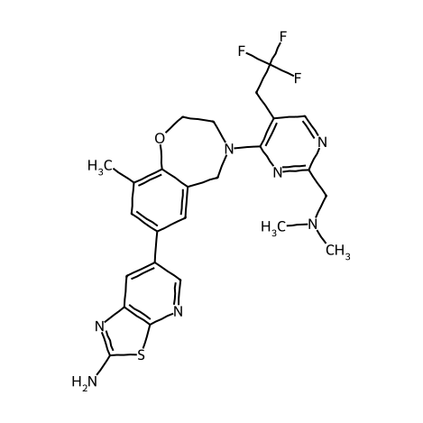 Cc1cc(-c2cnc3sc(N)nc3c2)cc2c1OCCN(c1nc(CN(C)C)ncc1CC(F)(F)F)C2